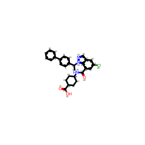 CC(c1ccc(-c2ccccc2)cc1)n1ncc2cc(Cl)cc(C(=O)NC3CCC(C(=O)O)CC3)c21